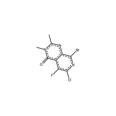 Cc1nc2c(Br)nc(Cl)c(F)c2c(=O)n1C